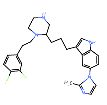 Cc1nccn1-c1ccc2[nH]cc(CCCC3CNCCN3CCc3ccc(F)c(F)c3)c2c1